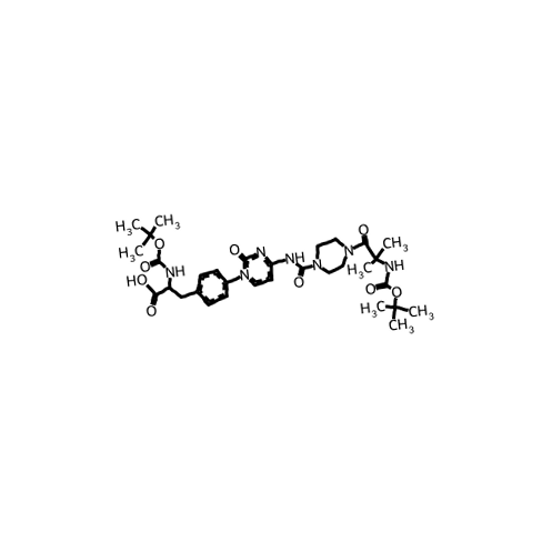 CC(C)(C)OC(=O)NC(Cc1ccc(-n2ccc(NC(=O)N3CCN(C(=O)C(C)(C)NC(=O)OC(C)(C)C)CC3)nc2=O)cc1)C(=O)O